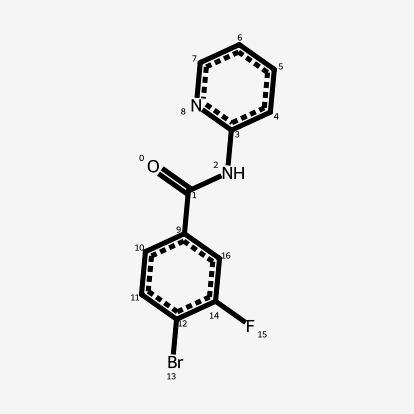 O=C(Nc1ccccn1)c1ccc(Br)c(F)c1